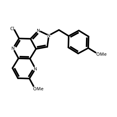 COc1ccc(Cn2cc3c(n2)c(Cl)nc2ccc(OC)nc23)cc1